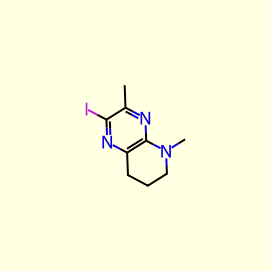 Cc1nc2c(nc1I)CCCN2C